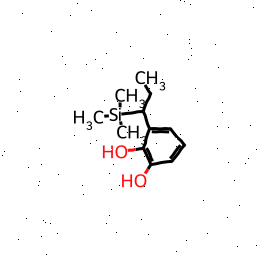 CCC(c1cccc(O)c1O)[Si](C)(C)C